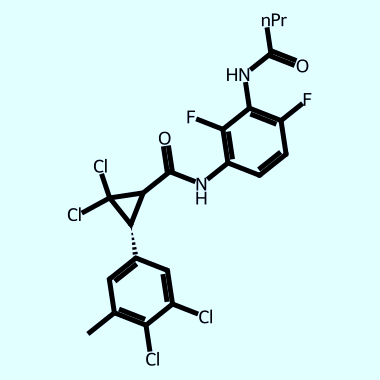 CCCC(=O)Nc1c(F)ccc(NC(=O)C2[C@H](c3cc(C)c(Cl)c(Cl)c3)C2(Cl)Cl)c1F